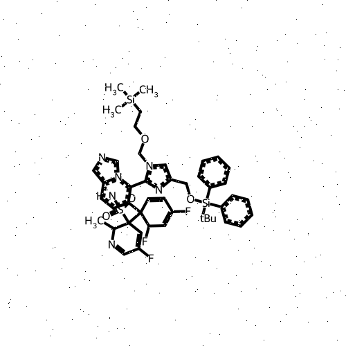 CC1N=CC(F)=CC1(C1(c2ccc3cncn3c2-c2nc(CO[Si](c3ccccc3)(c3ccccc3)C(C)(C)C)cn2COCC[Si](C)(C)C)C=CC(F)=CC1F)S(N)(=O)=O